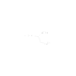 CCCC=C(C=O)C(C)CC